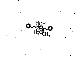 CC(C)CC1(CCc2ccccc2)CC(O)=C(NCCCc2ccccc2)C(=O)O1